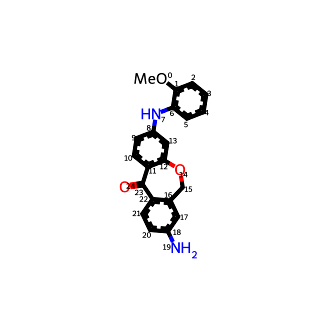 COc1ccccc1Nc1ccc2c(c1)OCc1cc(N)ccc1C2=O